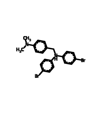 CN(C)c1ccc(C[SiH](c2ccc(Br)cc2)c2ccc(Br)cc2)cc1